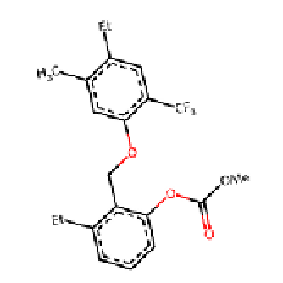 CCc1cc(C(F)(F)F)c(OCc2c(CC)cccc2OC(=O)OC)cc1C